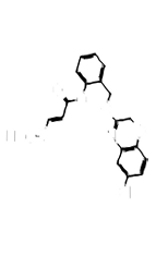 COC=CC(=O)Oc1ccccc1COC1=Nc2cc(Cl)ccc2OC1